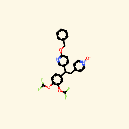 [O-][n+]1ccc(CC(c2ccc(OCc3ccccc3)nc2)c2ccc(OC(F)F)c(OC(F)F)c2)cc1